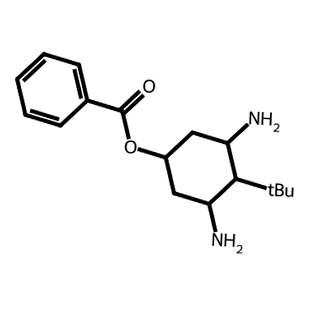 CC(C)(C)C1C(N)CC(OC(=O)c2ccccc2)CC1N